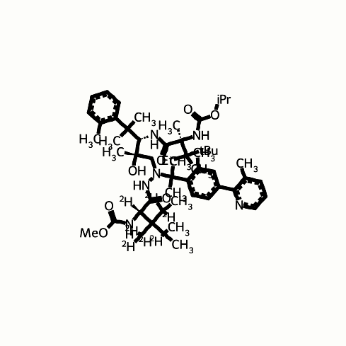 [2H]C([2H])([2H])C(C([2H])([2H])C)(C([2H])(C)C)[C@]([2H])(NC(=O)OC)C(=O)NN(C[C@](C)(O)[C@@H](NC(=O)[C@@](C)(NC(=O)OC(C)C)C(C)(CC)C(C)(C)C)C(C)(C)c1ccccc1C)C(C)(C)c1ccc(-c2ncccc2C)cc1C